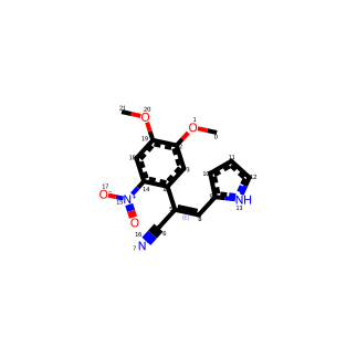 COc1cc(/C(C#N)=C\c2ccc[nH]2)c([N+](=O)[O-])cc1OC